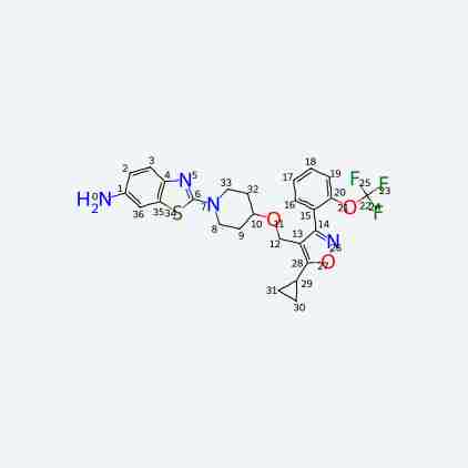 Nc1ccc2nc(N3CCC(OCc4c(-c5ccccc5OC(F)(F)F)noc4C4CC4)CC3)sc2c1